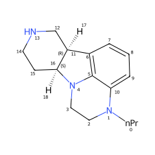 CCCN1CCN2c3c(cccc31)[C@@H]1CNCC[C@@H]12